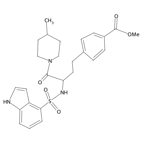 COC(=O)c1ccc(CCC(NS(=O)(=O)c2cccc3[nH]ccc23)C(=O)N2CCC(C)CC2)cc1